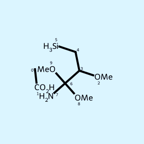 CC(=O)O.COC(C[SiH3])C(N)(OC)OC